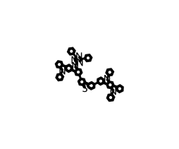 c1ccc(-c2nc(-c3ccccc3)nc(-n3c4ccc(-c5ccc6sc7ccc(-c8ccc9c(c8)c8cc%10c(cc8n9-c8ccccc8)c8ccccc8n%10-c8ccccc8)cc7c6c5)cc4c4cc5c(cc43)c3ccccc3n5-c3ccccc3)n2)cc1